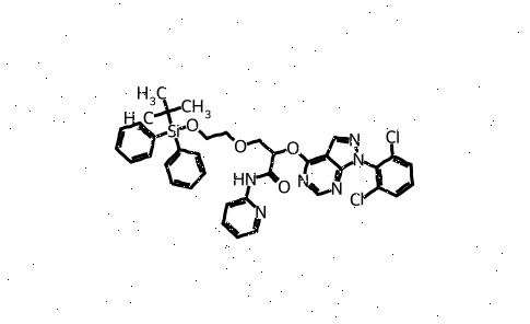 CC(C)(C)[Si](OCCOCC(Oc1ncnc2c1cnn2-c1c(Cl)cccc1Cl)C(=O)Nc1ccccn1)(c1ccccc1)c1ccccc1